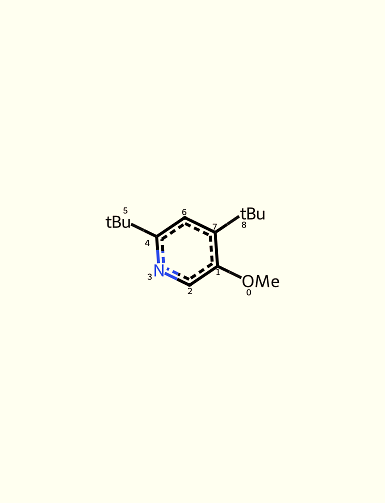 COc1cnc(C(C)(C)C)cc1C(C)(C)C